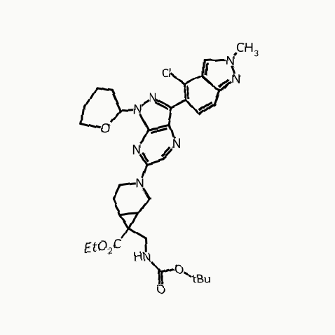 CCOC(=O)C1(CNC(=O)OC(C)(C)C)C2CCN(c3cnc4c(-c5ccc6nn(C)cc6c5Cl)nn(C5CCCCO5)c4n3)CC21